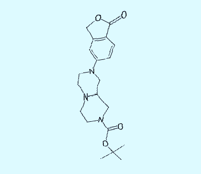 CC(C)(C)OC(=O)N1CCN2CCN(c3ccc4c(c3)COC4=O)CC2C1